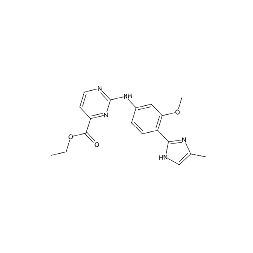 CCOC(=O)c1ccnc(Nc2ccc(-c3nc(C)c[nH]3)c(OC)c2)n1